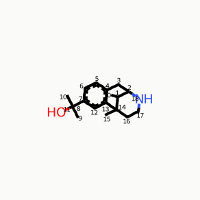 CC1C2Cc3ccc(C(C)(C)O)cc3C1(C)CCN2